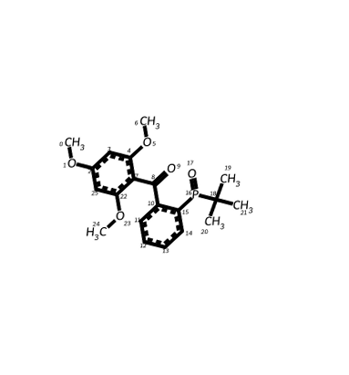 COc1cc(OC)c(C(=O)c2ccccc2[P](=O)C(C)(C)C)c(OC)c1